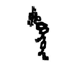 CCCN(CC1CCN(C(=O)OC(C)(C)C)CC1)C1CCc2ccc(OS(=O)(=O)c3c(C)noc3C)cc2C1